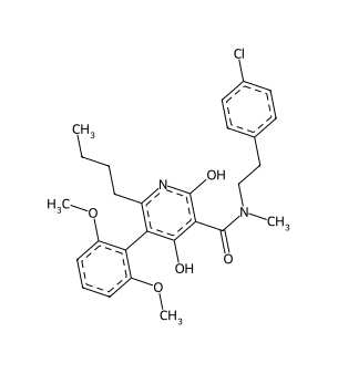 CCCCc1nc(O)c(C(=O)N(C)CCc2ccc(Cl)cc2)c(O)c1-c1c(OC)cccc1OC